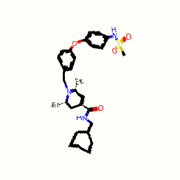 CC[C@@H]1C[C@@H](C(=O)NCC2CCCCC2)C[C@H](CC)N1Cc1ccc(Oc2ccc(NS(C)(=O)=O)cc2)cc1